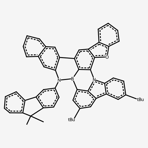 CC(C)(C)c1ccc2c(c1)c1cc(C(C)(C)C)cc3c1n2-c1c2c(cc4c1oc1ccccc14)-c1cc4ccccc4cc1N(c1ccc4c(c1)-c1ccccc1C4(C)C)B23